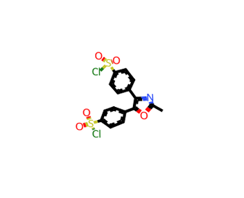 Cc1nc(-c2ccc(S(=O)(=O)Cl)cc2)c(-c2ccc(S(=O)(=O)Cl)cc2)o1